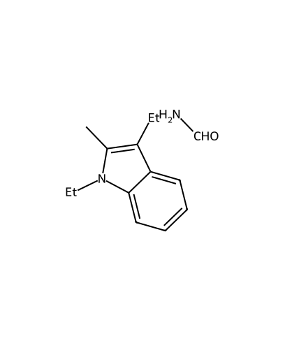 CCc1c(C)n(CC)c2ccccc12.NC=O